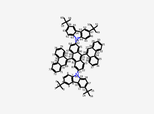 CC(C)(C)c1ccc2c(c1)c1cc(C(C)(C)C)ccc1n2-c1ccc2c(-c3cc4ccccc4c4ccccc34)c3cc(-n4c5ccc(C(C)(C)C)cc5c5cc(C(C)(C)C)ccc54)ccc3c(-c3cc4ccccc4c4ccccc34)c2c1